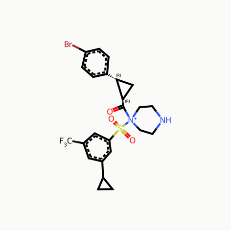 O=C([C@@H]1C[C@H]1c1ccc(Br)cc1)[N+]1(S(=O)(=O)c2cc(C3CC3)cc(C(F)(F)F)c2)CCNCC1